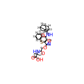 CC(C)(NC(=O)COc1noc(C(=O)NC2C3CC4CC(C3)CC2C4)c1Sc1ccccc1)C(=O)O